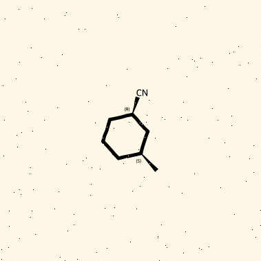 C[C@H]1CCC[C@@H](C#N)C1